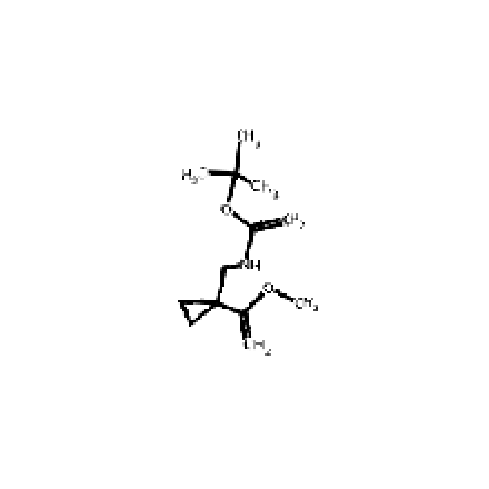 C=C(NCC1(C(=C)OC)CC1)OC(C)(C)C